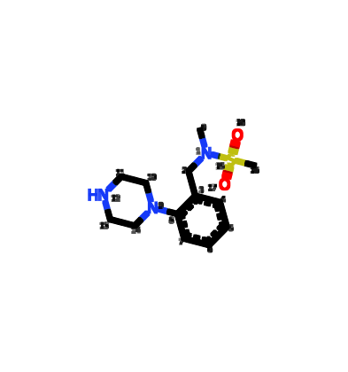 CN(Cc1ccccc1N1CCNCC1)S(C)(=O)=O